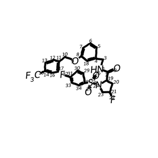 O=C(NCc1cccc(OCc2ccc(C(F)(F)F)cc2)c1)C1CC(F)CN1S(=O)(=O)c1ccc(F)cc1